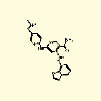 CN(C)Cc1ccc(Nc2cc(NCc3cccc4ccsc34)c(C(N)=O)cn2)nc1